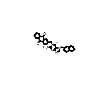 Nc1nc2ncn(Cc3ccc4ccccc4c3)c2c(=O)n1Cc1ccc2c(c1)C(=O)c1ccccc1C2=O